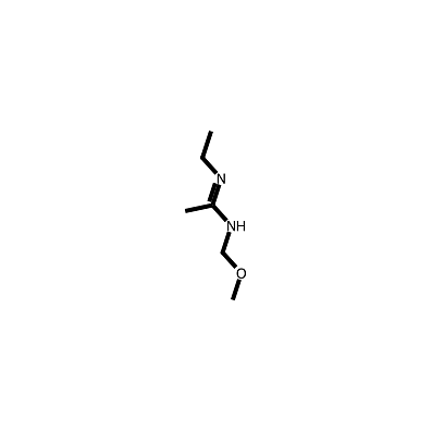 CC/N=C(\C)NCOC